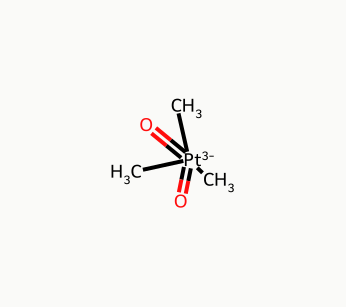 [CH3][Pt-3]([CH3])([CH3])(=[O])=[O]